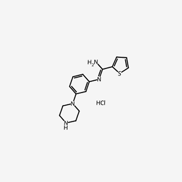 Cl.N/C(=N\c1cccc(N2CCNCC2)c1)c1cccs1